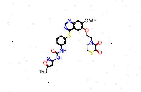 COc1cc2ncnc(Sc3cccc(NC(=O)Nc4cc(C(C)(C)C)on4)c3)c2cc1OCCN1CCSC(=O)C1=O